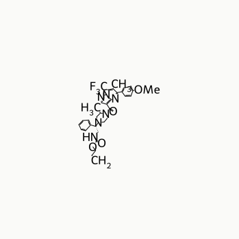 C=CCOC(=O)NC[C@H](c1ccccc1)N1CCN(C(=O)c2cnn3c(C(F)(F)F)c(C)c(-c4ccc(OC)cc4)nc23)[C@H](C)C1